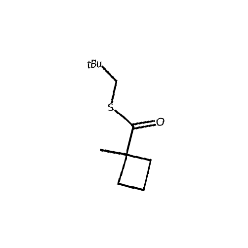 CC(C)(C)CSC(=O)C1(C)CCC1